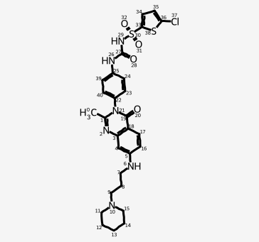 Cc1nc2cc(NCCCN3CCCCC3)ccc2c(=O)n1-c1ccc(NC(=O)NS(=O)(=O)c2ccc(Cl)s2)cc1